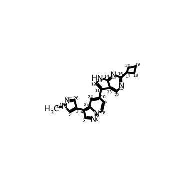 Cn1cc(-c2cnn3ccc(-c4c[nH]c5nc(C6CCC6)ncc45)cc23)cn1